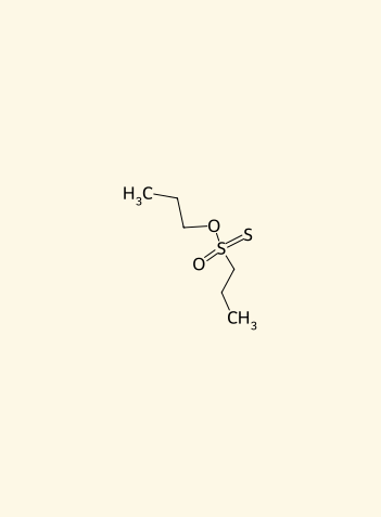 CCCOS(=O)(=S)CCC